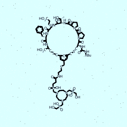 CCCCNC(=O)N[C@H]1CSCc2cc(CSCCNC(=O)CCP(=O)(O)CN3CCN(CP(=O)(O)CO)CCN(CP(=O)(O)CO)CC3)cc(c2)CSCC(C(=O)O)NC(=O)[C@H](Cc2ccccc2)NC(=O)[C@H](CCC(=O)O)NC(O)[C@H]([C@@H](C)O)NC(=O)[C@@H]2CCCN2C(=O)[C@@H]2CCCN2C1=O